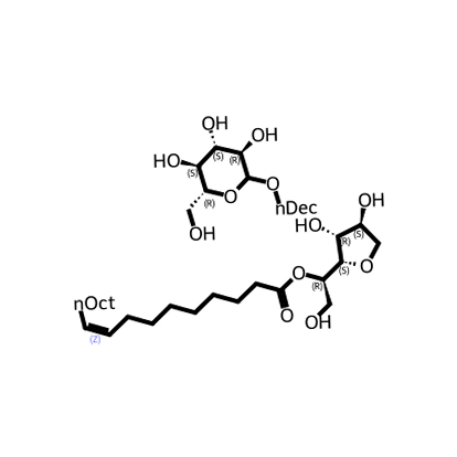 CCCCCCCC/C=C\CCCCCCCC(=O)O[C@H](CO)[C@H]1OC[C@H](O)[C@H]1O.CCCCCCCCCCOC1O[C@H](CO)[C@@H](O)[C@H](O)[C@H]1O